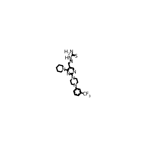 NC(=S)NN=Cc1cnc(N2CCN(c3cccc(C(F)(F)F)c3)CC2)nc1N1CCCCC1